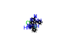 CC[C@@H](Nc1c(C#N)cnc2c(Cl)cc(N[C@H](c3c[nH]nn3)c3ccccc3F)cc12)c1ccccc1